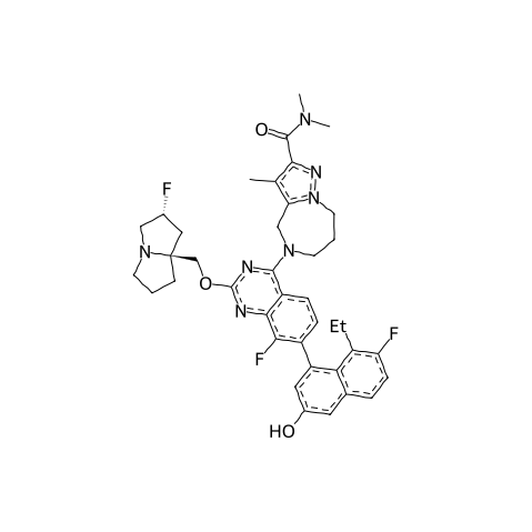 CCc1c(F)ccc2cc(O)cc(-c3ccc4c(N5CCCn6nc(C(=O)N(C)C)c(C)c6C5)nc(OC[C@@]56CCCN5C[C@H](F)C6)nc4c3F)c12